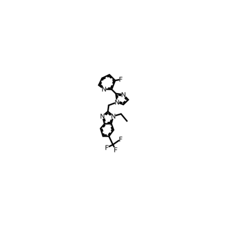 CCn1c(Cn2ccnc2-c2ncccc2F)nc2ccc(C(F)(F)F)cc21